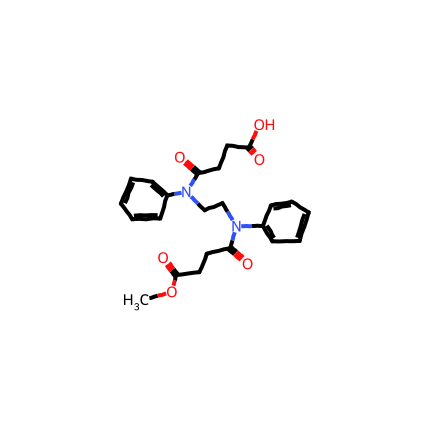 COC(=O)CCC(=O)N(CCN(C(=O)CCC(=O)O)c1ccccc1)c1ccccc1